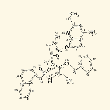 COc1nc(N)c2ncn([C@@H]3O[C@H](COP(=O)(N[C@@H](C)C(=O)OCc4ccccc4)Oc4cccc5ccccc45)C[C@@H]3O)c2n1